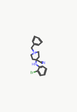 N#CC1(Nc2ccccc2Br)CCN(Cc2ccccc2)CC1